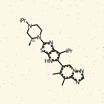 Cc1c(-c2[nH]c3sc(N4CCN(C(C)C)C[C@@H]4C)nc3c2C(C)C)cn2ncnc2c1C